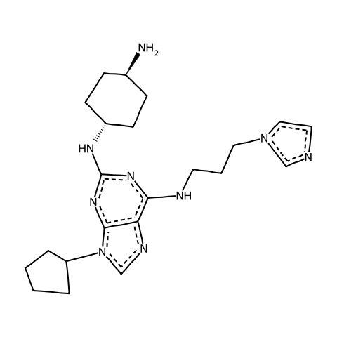 N[C@H]1CC[C@H](Nc2nc(NCCCn3ccnc3)c3ncn(C4CCCC4)c3n2)CC1